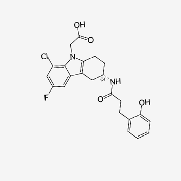 O=C(O)Cn1c2c(c3cc(F)cc(Cl)c31)C[C@@H](NC(=O)CCc1ccccc1O)CC2